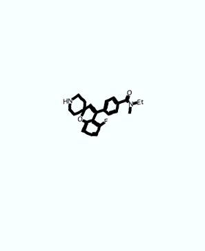 CCN(C)C(=O)c1ccc(C2=CC3(CCNCC3)Oc3cccc(F)c32)cc1